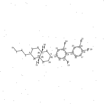 CCCCC1CC[C@@H]2C[C@H](c3cc(F)c(-c4ccc(F)c(F)c4)c(F)c3)CC[C@@H]2C1